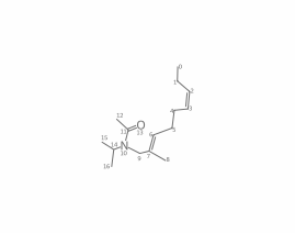 CC/C=C\CC/C=C(\C)CN(C(C)=O)C(C)C